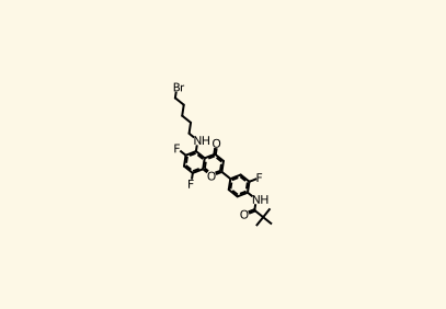 CC(C)(C)C(=O)Nc1ccc(-c2cc(=O)c3c(NCCCCCBr)c(F)cc(F)c3o2)cc1F